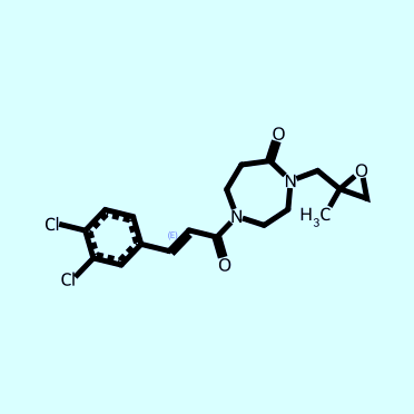 CC1(CN2CCN(C(=O)/C=C/c3ccc(Cl)c(Cl)c3)CCC2=O)CO1